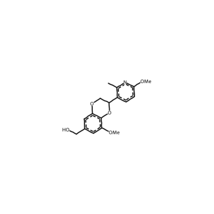 COc1ccc(C2COc3cc(CO)cc(OC)c3O2)c(C)n1